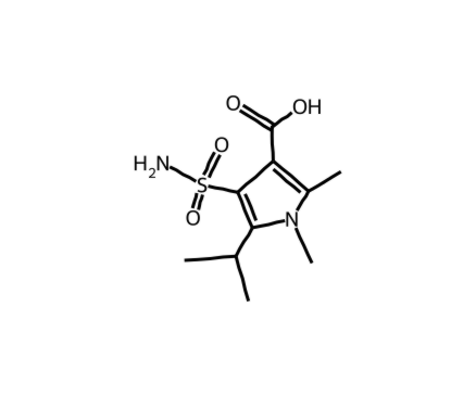 Cc1c(C(=O)O)c(S(N)(=O)=O)c(C(C)C)n1C